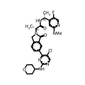 CNc1cc([C@@H](C)NC(=O)[C@@H](C)N2Cc3ccc(-c4nc(NC5CCOCC5)ncc4Cl)cc3C2=O)c(F)cn1